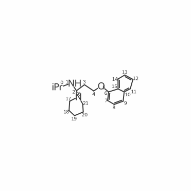 CC(C)NC(CCOc1cccc2ccccc12)N1CCCCC1